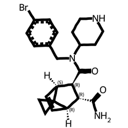 NC(=O)[C@H]1[C@H](C(=O)N(Cc2ccc(Br)cc2)C2CCNCC2)[C@@H]2C=C[C@H]1C21CC1